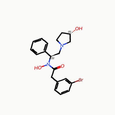 O=C(Cc1cccc(Br)c1)N(O)[C@H](CN1CC[C@H](O)C1)c1ccccc1